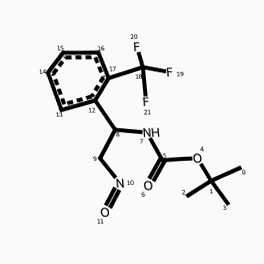 CC(C)(C)OC(=O)NC(CN=O)c1ccccc1C(F)(F)F